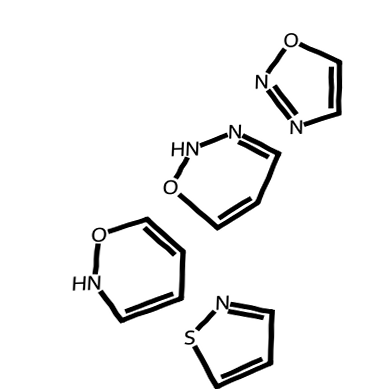 C1=CNOC=C1.C1=CONN=C1.c1cnsc1.c1conn1